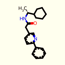 C[C@@H](NC(=O)Cc1ccc(-c2ccccc2)nc1)C1CCCCC1